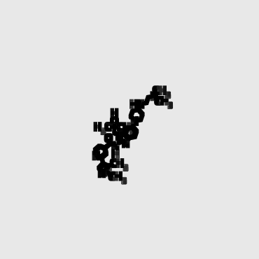 Cc1c(-c2cc(C(=O)Nc3nc4ccc(N5CCC(NCCN(C)C)CC5)cc4n3CC(C)(C)O)ccn2)cnn1C